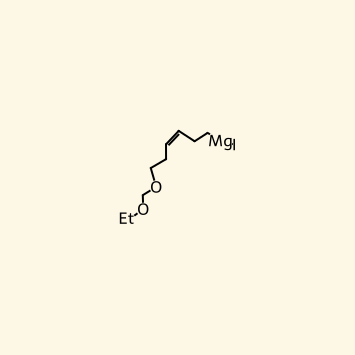 CCOCOCC/C=C\C[CH2][Mg][I]